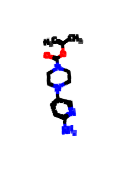 C=C(C)OC(=O)N1CCN(c2ccc(N)nc2)CC1